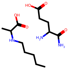 CCCCCNC(C)C(=O)O.NC(=O)C(N)CCC(=O)O